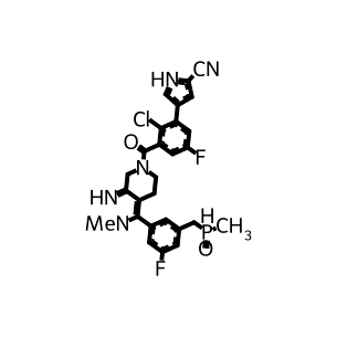 CN/C(=C1/CCN(C(=O)c2cc(F)cc(-c3c[nH]c(C#N)c3)c2Cl)CC1=N)c1cc(F)cc(C[PH](C)=O)c1